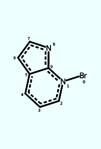 Brn1cccc2ccnc1-2